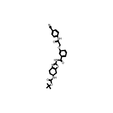 CC(C)(C)OC(=O)NC1CCc2nc(NC(=O)c3cccc(OCC(=O)Nc4ccc(C#N)cc4)c3)sc2C1